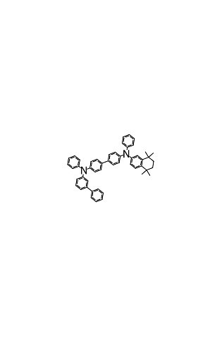 CC1(C)CCC(C)(C)c2cc(N(c3ccccc3)c3ccc(-c4ccc(N(c5ccccc5)c5cccc(-c6ccccc6)c5)cc4)cc3)ccc21